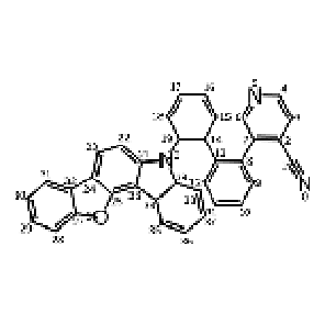 N#Cc1ccncc1-c1ccccc1C1C=CC=CC1N1c2ccc3c(oc4ccccc43)c2C2C=CC=CC21